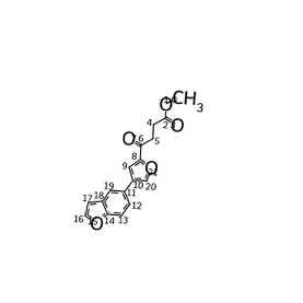 COC(=O)CCC(=O)c1cc(-c2ccc3occc3c2)co1